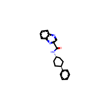 O=C(N[C@H]1CC[C@H](c2ccccc2)CC1)c1cnc2ccccc2n1